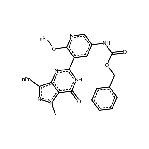 CCCOc1ncc(NC(=O)OCc2ccccc2)cc1-c1nc2c(CCC)nn(C)c2c(=O)[nH]1